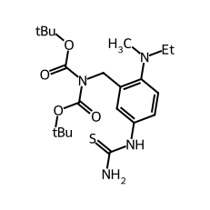 CCN(C)c1ccc(NC(N)=S)cc1CN(C(=O)OC(C)(C)C)C(=O)OC(C)(C)C